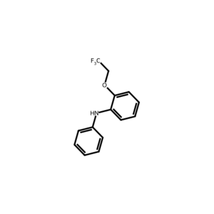 FC(F)(F)COc1ccccc1Nc1ccccc1